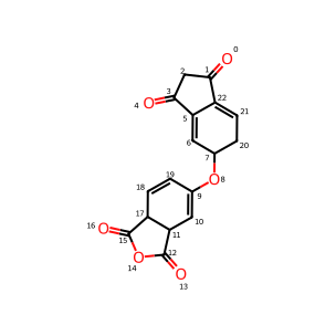 O=C1CC(=O)C2=CC(OC3=CC4C(=O)OC(=O)C4C=C3)CC=C12